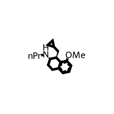 CCCN[C@H]1CCc2cccc(OC)c2[C@@H]1CC1CC1